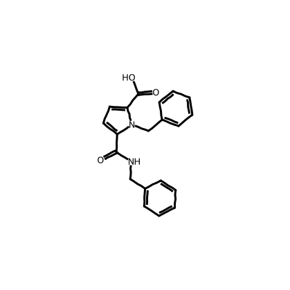 O=C(O)c1ccc(C(=O)NCc2ccccc2)n1Cc1ccccc1